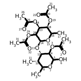 CC(=O)OC1C(O)OC(C)[C@H](C)[C@@H]1O[C@@H]1OC(C)[C@H](OC(C)=O)[C@H](OC(C)=O)C1OC(C)=O